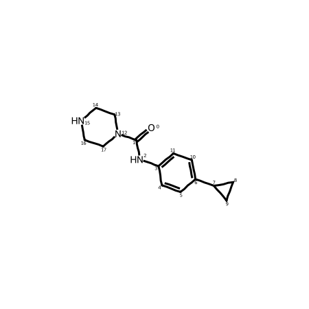 O=C(Nc1ccc(C2CC2)cc1)N1CCNCC1